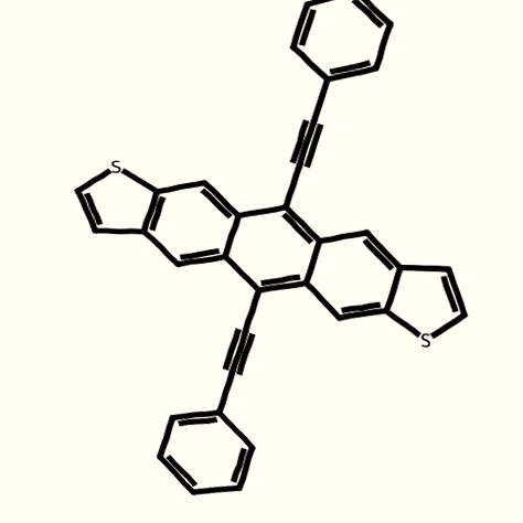 C(#Cc1c2cc3ccsc3cc2c(C#Cc2ccccc2)c2cc3ccsc3cc12)c1ccccc1